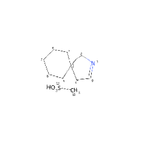 C1=NCC2(C1)CCCCC2.CS(=O)(=O)O